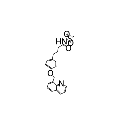 CS(=O)(=O)NC(=O)CCCc1ccc(OCc2cccc3cccnc23)cc1